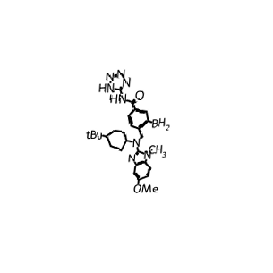 Bc1cc(C(=O)Nc2nnn[nH]2)ccc1CN(c1nc2cc(OC)ccc2n1C)C1CCC(C(C)(C)C)CC1